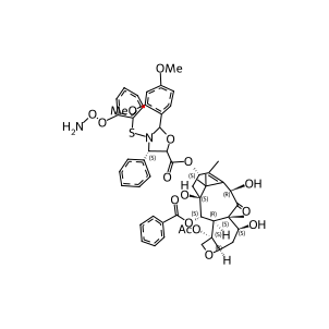 COc1ccc(C2OC(C(=O)O[C@H]3C[C@@]4(O)[C@@H](OC(=O)c5ccccc5)[C@@H]5[C@]6(OC(C)=O)CO[C@@H]6C[C@H](O)[C@@]5(C)C(=O)[C@H](O)C(=C3C)C4(C)C)[C@H](c3ccccc3)N2Sc2ccccc2OON)c(OC)c1